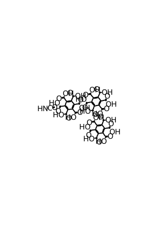 N=C=O.O=C(O)c1c(C(=O)O)c(C(=O)O)c(C(=O)O)c(C(=O)O)c1C(=O)O.O=C(O)c1c(C(=O)O)c(C(=O)O)c(C(=O)O)c(C(=O)O)c1C(=O)O.O=C(O)c1c(C(=O)O)c(C(=O)O)c(C(=O)O)c(C(=O)O)c1C(=O)O